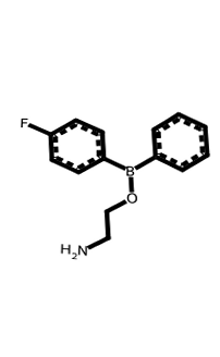 NCCOB(c1ccccc1)c1ccc(F)cc1